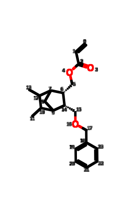 C=CC(=O)OC[C@H]1C2CC(C(C)C2C)[C@H]1COCc1ccccc1